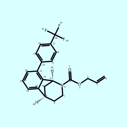 C=CCOC(=O)N1CC[C@@H]2C[C@H]1c1c(-c3ccc(C(F)(F)F)cc3)cccc12